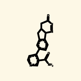 NC(=O)c1cnccc1-c1ccc2c(c1)CC1CC(=O)N=NC21